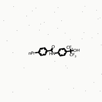 CCCc1ccc(C(=O)Nc2ccc(C(O)(C(F)(F)F)C(F)(F)F)cc2)cc1